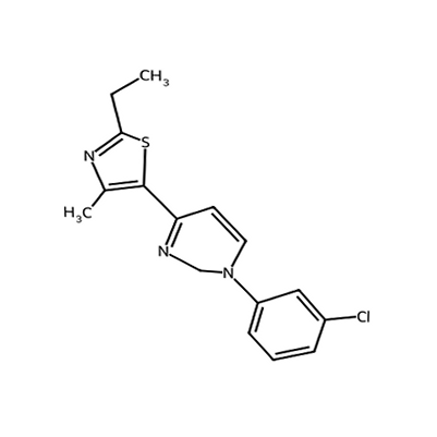 CCc1nc(C)c(C2=NCN(c3cccc(Cl)c3)C=C2)s1